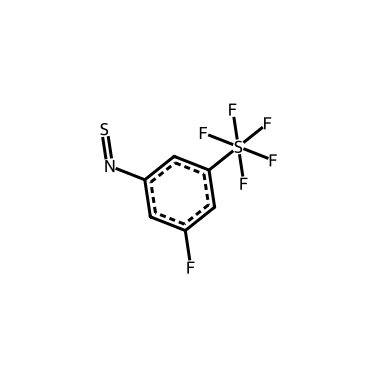 Fc1cc(N=S)cc(S(F)(F)(F)(F)F)c1